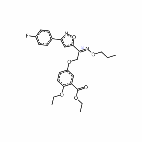 CCCO/N=C(\COc1ccc(OCC)c(C(=O)OCC)c1)c1cc(-c2ccc(F)cc2)no1